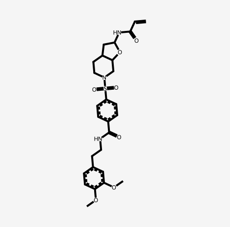 C=CC(=O)NC1CC2CCN(S(=O)(=O)c3ccc(C(=O)NCCc4ccc(OC)c(OC)c4)cc3)CC2O1